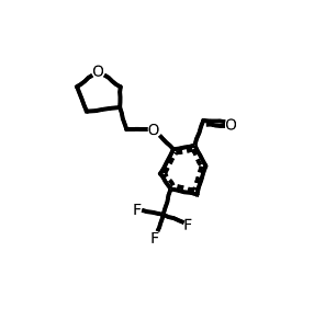 O=Cc1ccc(C(F)(F)F)cc1OCC1CCOC1